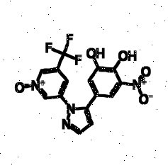 O=[N+]([O-])c1cc(-c2ccnn2-c2cc(C(F)(F)F)c[n+]([O-])c2)cc(O)c1O